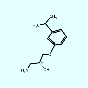 CC(C)c1cccc(OC[C@H](O)CN)c1